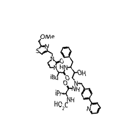 CCC(C)C(C(=O)NC(Cc1ccccc1)C(O)CN(Cc1ccc(-c2ccccn2)cc1)NC(=O)C(NC(=O)O)C(C)C)N1CCN(Cc2csc(COC)n2)C1=O